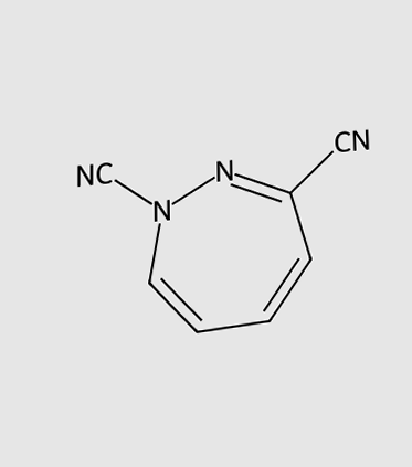 N#CC1=NN(C#N)C=CC=C1